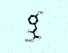 COC(=O)/C(F)=C/c1cccc(C#N)c1